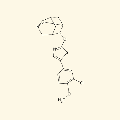 COc1ccc(-c2cnc(OC3C4CC5CC3CN(C5)C4)s2)cc1Cl